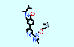 Cc1cn(COCC[Si](C)(C)C)c(-c2cc(-c3ccc4c(c3)CN(C(C)C3CC3)C4=O)ccn2)n1